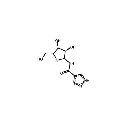 O=C(NC1O[C@H](CO)[C@@H](O)[C@H]1O)c1c[nH]nn1